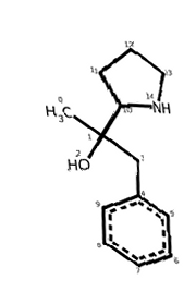 CC(O)(Cc1ccccc1)C1CCCN1